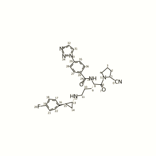 N#CC1CCCN1C(=O)[C@H](CCCN[C@@H]1C[C@H]1c1ccc(F)cc1)NC(=O)c1ccc(-n2ccnn2)cc1